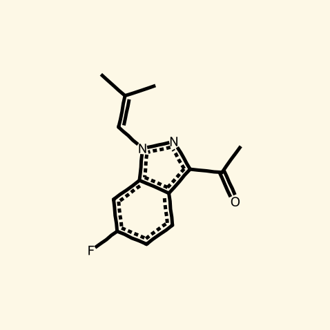 CC(=O)c1nn(C=C(C)C)c2cc(F)ccc12